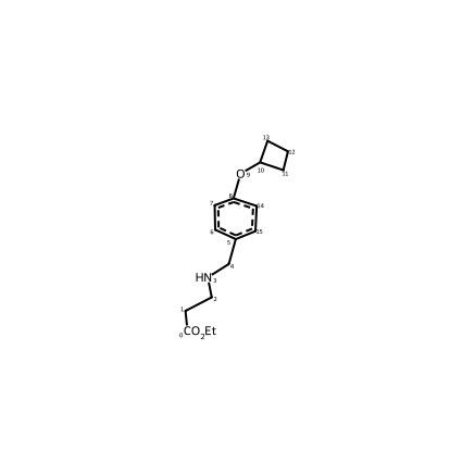 CCOC(=O)CCNCc1ccc(OC2CCC2)cc1